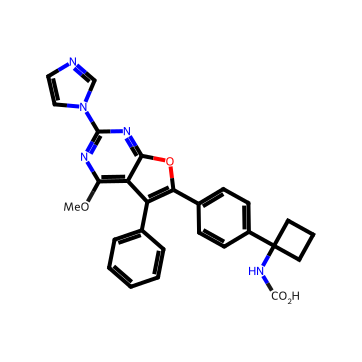 COc1nc(-n2ccnc2)nc2oc(-c3ccc(C4(NC(=O)O)CCC4)cc3)c(-c3ccccc3)c12